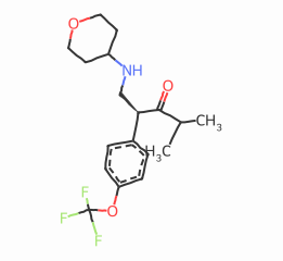 CC(C)C(=O)[C@H](CNC1CCOCC1)c1ccc(OC(F)(F)F)cc1